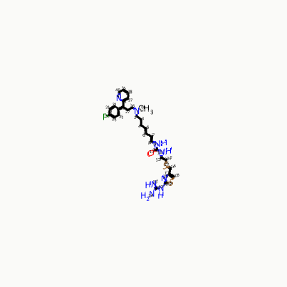 CN(CCCCCCCNC(=O)NCCSCc1csc(NC(=N)N)n1)CCC(c1ccc(F)cc1)c1ccccn1